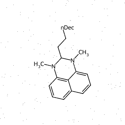 CCCCCCCCCCCCC1N(C)c2cccc3cccc(c23)N1C